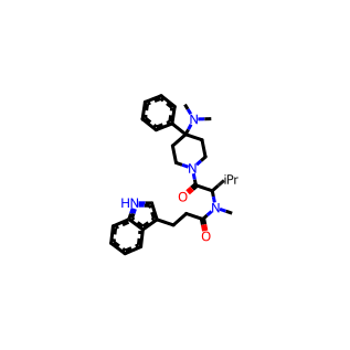 CC(C)C(C(=O)N1CCC(c2ccccc2)(N(C)C)CC1)N(C)C(=O)CCc1c[nH]c2ccccc12